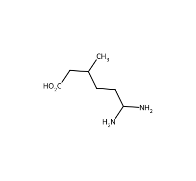 CC(CCC(N)N)CC(=O)O